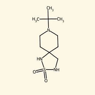 CC(C)(C)N1CCC2(CC1)CNS(=O)(=O)N2